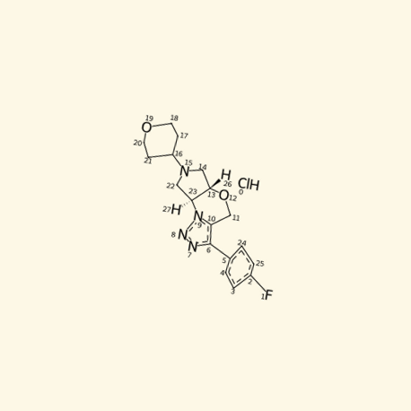 Cl.Fc1ccc(-c2nnn3c2CO[C@H]2CN(C4CCOCC4)C[C@@H]23)cc1